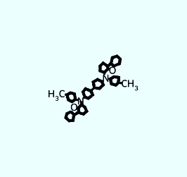 Cc1ccc(N(c2ccc(-c3ccc(N(c4ccc(C)cc4)c4cccc5c4oc4ccccc45)cc3)cc2)c2cccc3c2oc2ccccc23)cc1